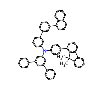 CC1(C)c2ccccc2-c2cccc(-c3ccc(N(c4cccc(-c5cccc(-c6cccc7ccccc67)c5)c4)c4cc(-c5ccccc5)cc(-c5ccccc5)c4)cc3)c21